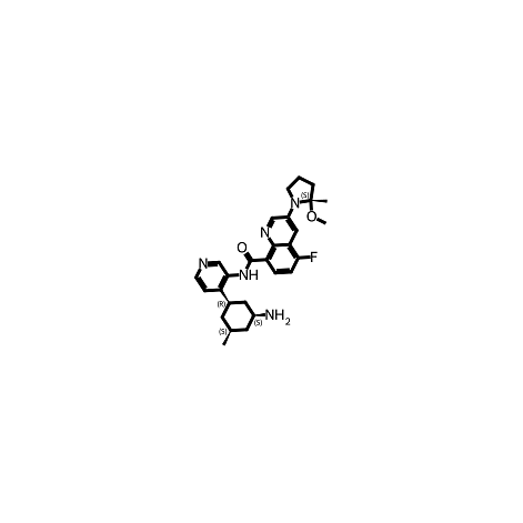 CO[C@@]1(C)CCCN1c1cnc2c(C(=O)Nc3cnccc3[C@@H]3C[C@H](C)C[C@H](N)C3)ccc(F)c2c1